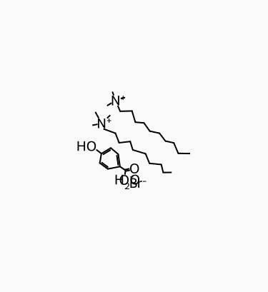 CCCCCCCCCC[N+](C)(C)C.CCCCCCCCCC[N+](C)(C)C.O.O=C([O-])c1ccc(O)cc1.[Br-]